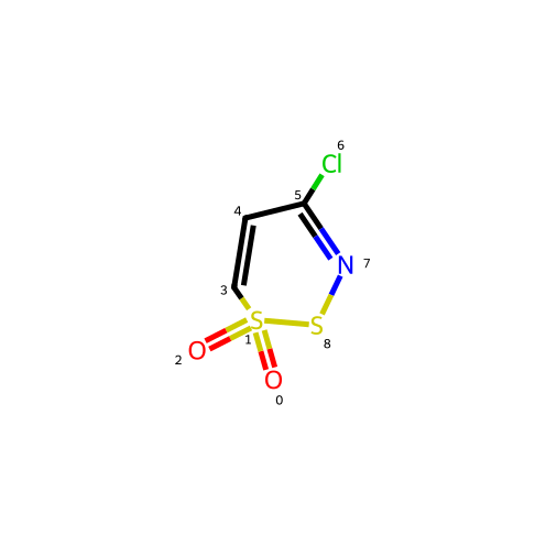 O=S1(=O)C=CC(Cl)=NS1